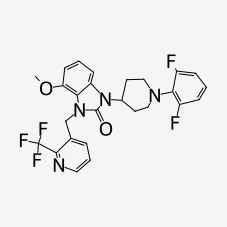 COc1cccc2c1n(Cc1cccnc1C(F)(F)F)c(=O)n2C1CCN(c2c(F)cccc2F)CC1